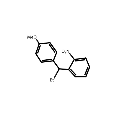 CCC(c1ccc(OC)cc1)c1ccccc1[N+](=O)[O-]